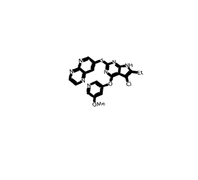 CCc1[nH]c2nc(Sc3cnc4nccnc4c3)nc(Oc3cncc(OC)c3)c2c1Cl